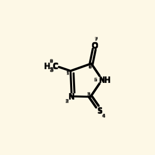 CC1=NC(=S)NC1=O